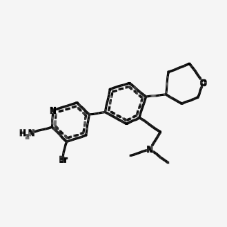 CN(C)Cc1cc(-c2cnc(N)c(Br)c2)ccc1C1CCOCC1